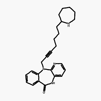 O=C1Nc2cccnc2N(CC#CCCCCC2CCCCCN2)c2ccccc21